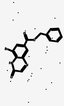 O=C(OCc1ccccc1)c1cc(Br)c2[nH]c(=O)cnc2c1